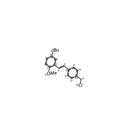 COc1ccc(C(C)(C)C)cc1C=Cc1ccc(CCl)cc1